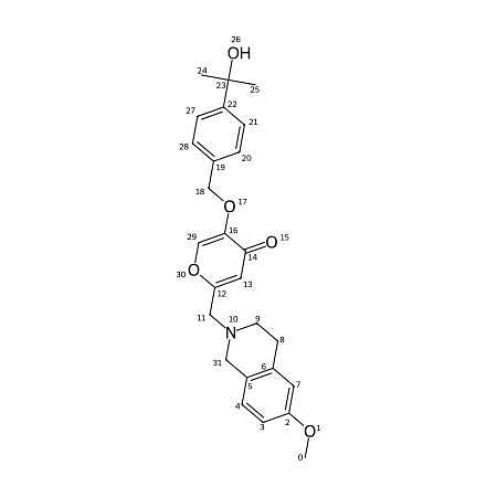 COc1ccc2c(c1)CCN(Cc1cc(=O)c(OCc3ccc(C(C)(C)O)cc3)co1)C2